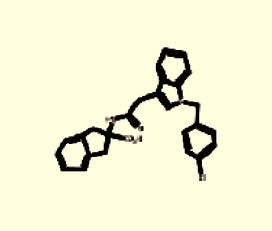 O=C(Cc1cn(Cc2ccc(Cl)cc2)c2ccccc12)NC1(C(=O)O)Cc2ccccc2C1